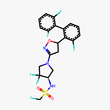 O=S(=O)(CF)N[C@@H]1CN(C2=NOC(c3c(F)cccc3-c3c(F)cccc3F)C2)CC1(F)F